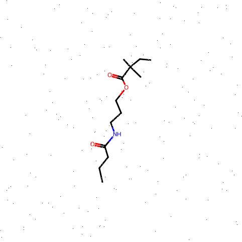 CCCC(=O)NCCCOC(=O)C(C)(C)CC